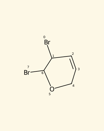 BrC1C=CCOC1Br